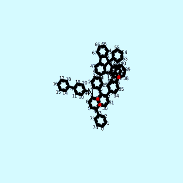 c1ccc(-c2ccc(N(c3ccc(-c4ccccc4)cc3)c3ccccc3-c3ccccc3-c3ccc4c5ccccc5n(-c5cccc6c5C(c5ccccc5)(c5ccccc5)c5ccccc5-6)c4c3)cc2)cc1